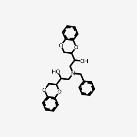 OC(CN(Cc1ccccc1)CC(O)C1COc2ccccc2O1)C1COc2ccccc2O1